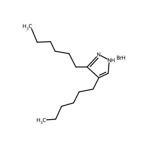 Br.CCCCCCc1c[nH]nc1CCCCCC